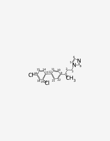 CC(CCn1ccnc1)c1ccc(-c2ccc(Cl)cc2Cl)cc1